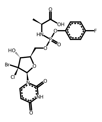 C[C@H](NP(=O)(OC[C@H]1O[C@@H](n2ccc(=O)[nH]c2=O)[C@](Cl)(Br)[C@@H]1O)Oc1ccc(F)cc1)C(=O)O